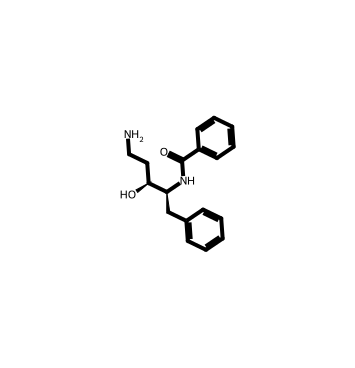 NCC[C@H](O)[C@H](Cc1ccccc1)NC(=O)c1ccccc1